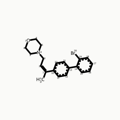 C/C(=C/CN1CCOCC1)c1ccc(-c2ccccc2Br)cc1